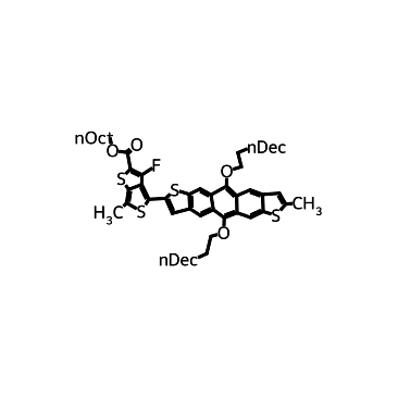 CCCCCCCCCCCCOc1c2cc3cc(-c4sc(C)c5sc(C(=O)OCCCCCCCC)c(F)c45)sc3cc2c(OCCCCCCCCCCCC)c2cc3cc(C)sc3cc12